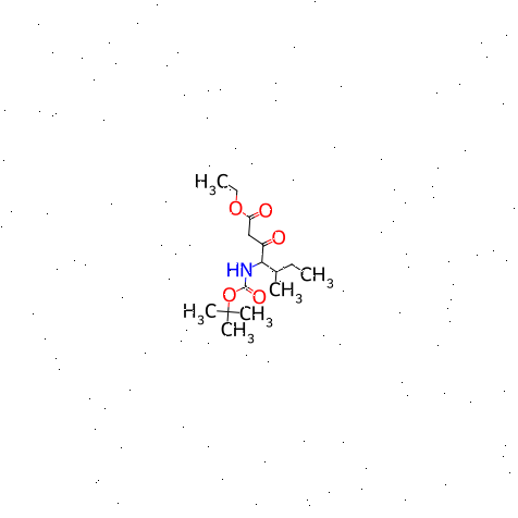 CCOC(=O)CC(=O)C(NC(=O)OC(C)(C)C)C(C)CC